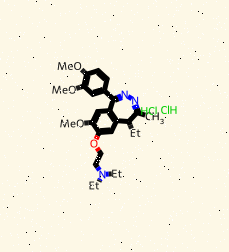 CCC1C(C)=NN=C(c2ccc(OC)c(OC)c2)c2cc(OC)c(OCCN(CC)CC)cc21.Cl.Cl